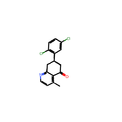 Cc1ccnc2c1C(=O)CC(c1cc(Cl)ccc1Cl)C2